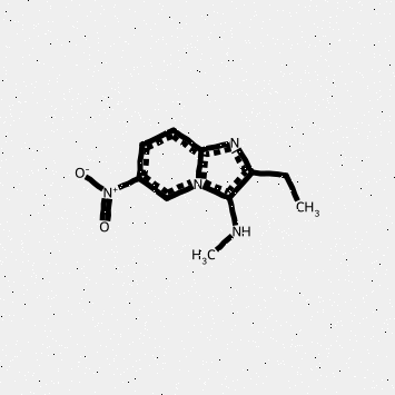 CCc1nc2ccc([N+](=O)[O-])cn2c1NC